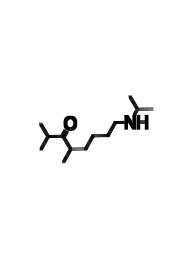 CC(C)NCCCCC(C)C(=O)C(C)C